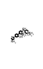 CC1C(N(C)c2ccc(-c3ccc(-n4cc(N)cn4)cc3O)nn2)CCN(C)C1(C)C